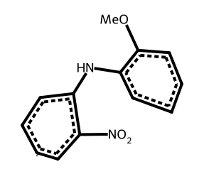 COc1ccccc1Nc1cc[c]cc1[N+](=O)[O-]